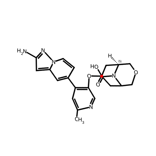 Cc1cc(-c2ccn3nc(N)cc3c2)c(OC2CC3COC[C@H](C2)N3C(=O)O)cn1